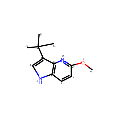 COc1ccc2[nH]cc(C(C)(C)C)c2n1